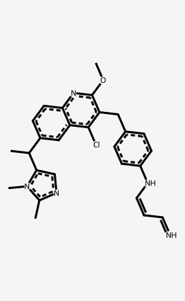 COc1nc2ccc(C(C)c3cnc(C)n3C)cc2c(Cl)c1Cc1ccc(N/C=C\C=N)cc1